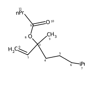 C=CC(C)(CCCC(C)C)OC(=O)CCC